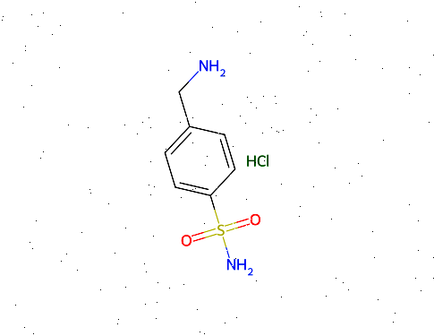 Cl.NCc1ccc(S(N)(=O)=O)cc1